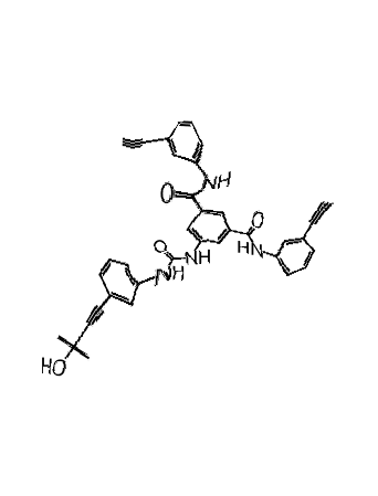 C#Cc1cccc(NC(=O)c2cc(NC(=O)Nc3cccc(C#CC(C)(C)O)c3)cc(C(=O)Nc3cccc(C#C)c3)c2)c1